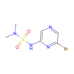 CN(C)S(=O)(=O)Nc1cncc(Br)n1